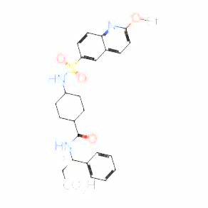 CCOc1ccc2cc(S(=O)(=O)NC3CCC(C(=O)N[C@H](CC(=O)O)c4ccccc4)CC3)ccc2n1